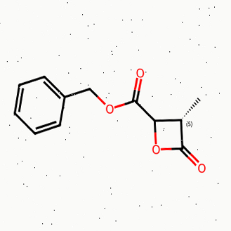 C[C@@H]1C(=O)OC1C(=O)OCc1ccccc1